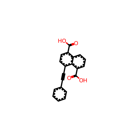 O=C(O)c1ccc(C#Cc2ccccc2)c2c(C(=O)O)cccc12